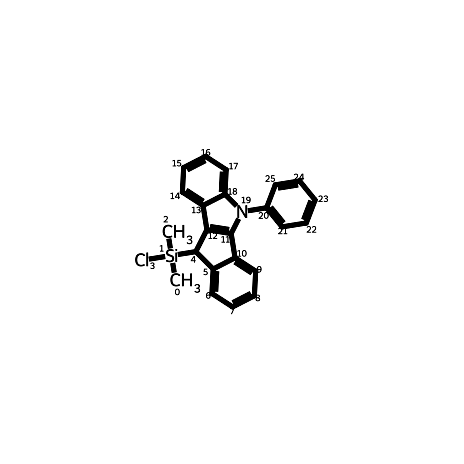 C[Si](C)(Cl)C1c2ccccc2-c2c1c1ccccc1n2-c1ccccc1